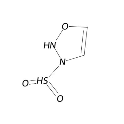 O=[SH](=O)N1C=CON1